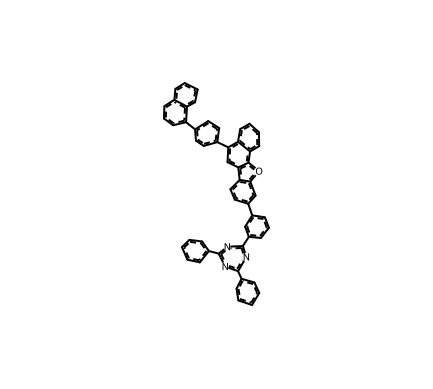 c1ccc(-c2nc(-c3ccccc3)nc(-c3cccc(-c4ccc5c(c4)oc4c6ccccc6c(-c6ccc(-c7cccc8ccccc78)cc6)cc54)c3)n2)cc1